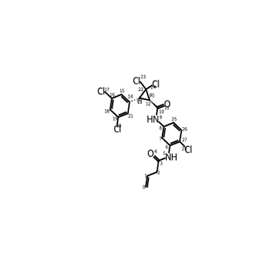 C=CCC(=O)Nc1cc(NC(=O)[C@H]2[C@H](c3cc(Cl)cc(Cl)c3)C2(Cl)Cl)ccc1Cl